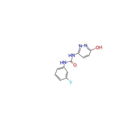 O=C(Nc1cccc(F)c1)Nc1ccc(O)nn1